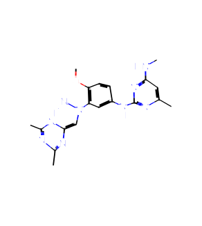 CNc1cc(C)nc(Nc2ccc(OC)c(N(N)/C=C3/N=C(C)N=C(C)N3)c2)n1